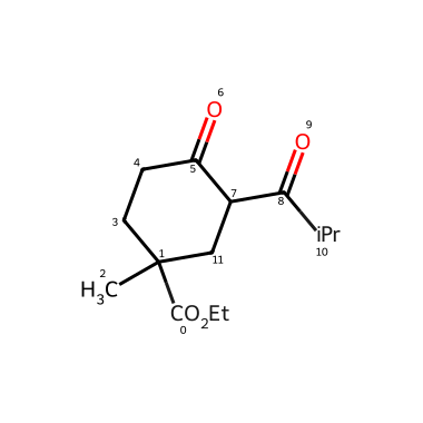 CCOC(=O)C1(C)CCC(=O)C(C(=O)C(C)C)C1